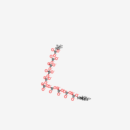 [Nb+5].[Nb+5].[Nb+5].[O-]B([O-])[O-].[O-]B([O-])[O-].[O-]B([O-])[O-].[O-]B([O-])[O-].[O-]B([O-])[O-].[O-]B([O-])[O-].[O-]B([O-])[O-].[O-]B([O-])[O-].[O-]B([O-])[O-].[O-]B([O-])[O-].[Ta+5].[Ta+5].[Ta+5]